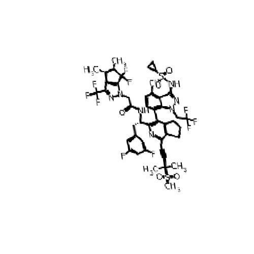 C[C@@H]1c2c(C(F)(F)F)nn(CC(=O)N[C@@H](Cc3cc(F)cc(F)c3)c3nc(C#CC(C)(C)S(C)(=O)=O)c4c(c3-c3ccc(Cl)c5c(NS(=O)(=O)C6CC6)nn(CC(F)(F)F)c35)CCC4)c2C(F)(F)[C@@H]1C